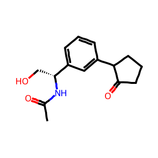 CC(=O)N[C@H](CO)c1cccc(C2CCCC2=O)c1